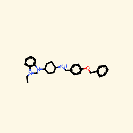 CCN1[CH]N(C2CCC(NCc3ccc(OCc4ccccc4)cc3)CC2)c2ccccc21